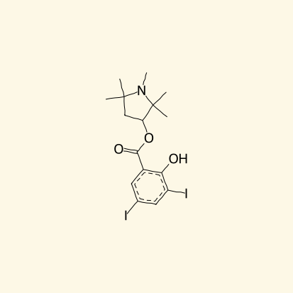 CN1C(C)(C)CC(OC(=O)c2cc(I)cc(I)c2O)C1(C)C